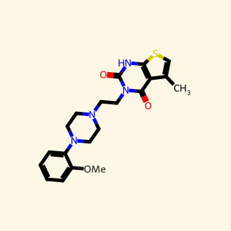 COc1ccccc1N1CCN(CCn2c(=O)[nH]c3scc(C)c3c2=O)CC1